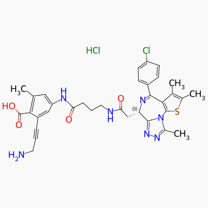 Cc1cc(NC(=O)CCCNC(=O)C[C@@H]2N=C(c3ccc(Cl)cc3)c3c(sc(C)c3C)-n3c(C)nnc32)cc(C#CCN)c1C(=O)O.Cl